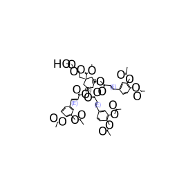 COC(=O)[C@]1(CCOOO)C[C@@H](OC(=O)/C=C/c2ccc(OC(C)=O)c(OC(C)=O)c2)[C@@H](OC(=O)/C=C/c2ccc(OC(C)=O)c(OC(C)=O)c2)[C@H](OC(=O)/C=C/c2ccc(OC(C)=O)c(OC(C)=O)c2)C1